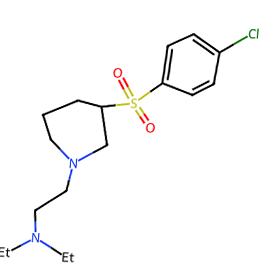 CCN(CC)CCN1CCCC(S(=O)(=O)c2ccc(Cl)cc2)C1